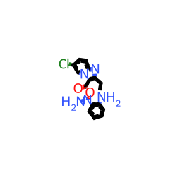 CCc1nc2ccc(Cl)cn2c1C(=O)ON(N)c1ccccc1N